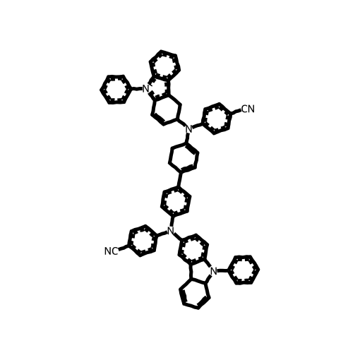 N#Cc1ccc(N(c2ccc(C3=CC=C(N(c4ccc(C#N)cc4)C4C=Cc5c(c6ccccc6n5-c5ccccc5)C4)CC3)cc2)c2ccc3c(c2)C2C=CC=CC2N3c2ccccc2)cc1